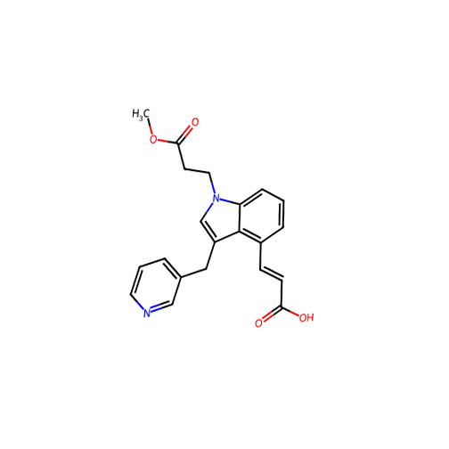 COC(=O)CCn1cc(Cc2cccnc2)c2c(C=CC(=O)O)cccc21